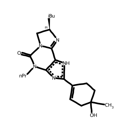 CCCN1C(=O)N2C[C@@H](C(C)CC)N=C2c2[nH]c(C3=CCC(C)(O)CC3)nc21